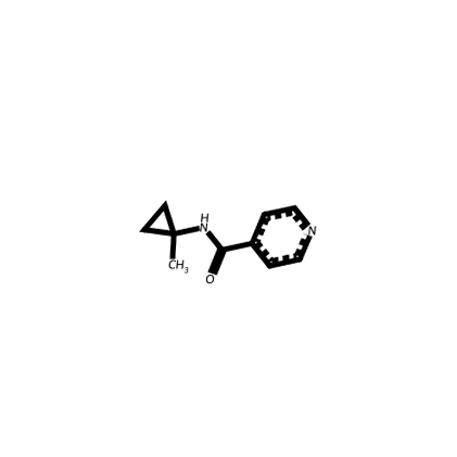 CC1(NC(=O)c2ccncc2)CC1